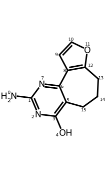 Nc1nc(O)c2c(n1)-c1ccoc1CCC2